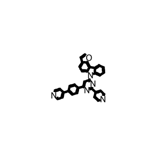 c1ccc2c(c1)c1c3occc3ccc1n2-c1cc(-c2ccc(-c3ccncc3)cc2)nc(-c2ccncc2)n1